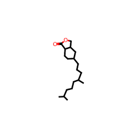 CC(C)CCCC(C)CCCC1CCC2C(=O)OCC2C1